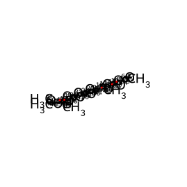 COc1ccc(C(=O)Oc2ccc(C(=O)Oc3ccc(-c4ccc(OC(=O)c5ccc(OC(=O)c6ccc(OC(=O)c7ccc(OCCC(C)OC)cc7OC)cc6)cc5)cc4)cc3C)cc2)cc1